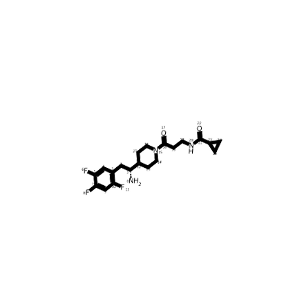 N[C@H](Cc1cc(F)c(F)cc1F)C1CCN(C(=O)CCNC(=O)C2CC2)CC1